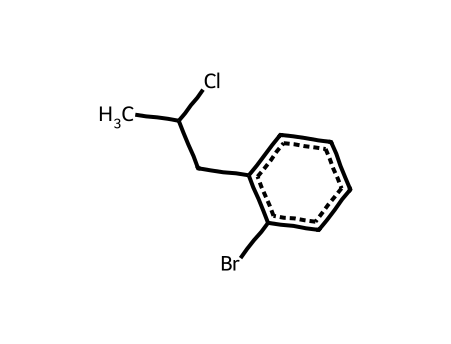 CC(Cl)Cc1ccccc1Br